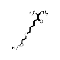 C=C(C)C(=O)CCCCOCCOC